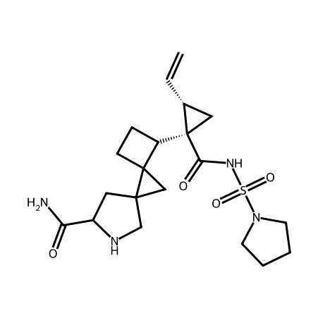 C=C[C@@H]1C[C@]1(C(=O)NS(=O)(=O)N1CCCC1)C1CCC12CC21CNC(C(N)=O)C1